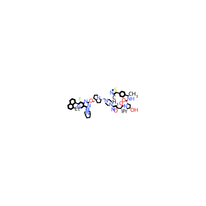 CCc1cccc2cccc(-c3ncc4c(N5CC6CCC(C5)N6)nc(OC[C@]56CCCN5[C@H](CN5CCN(c7cc([C@H](C(=O)N8C[C@H](O)C[C@H]8C(=O)N[C@@H](C)c8ccc(-c9scnc9C)cc8)C(C)C)on7)CC5)CC6)nc4c3F)c12